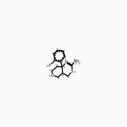 NC1=NC2(c3ccccc3F)CCOCC2CS1